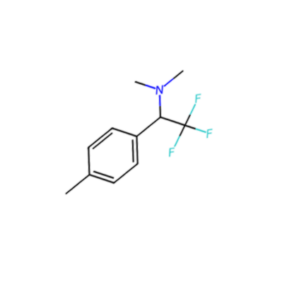 Cc1ccc(C(N(C)C)C(F)(F)F)cc1